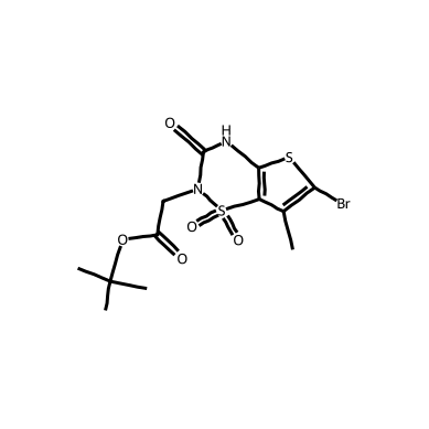 Cc1c(Br)sc2c1S(=O)(=O)N(CC(=O)OC(C)(C)C)C(=O)N2